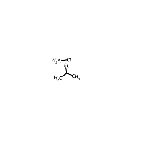 [AlH2][Cl].[CH2]C(C)CC